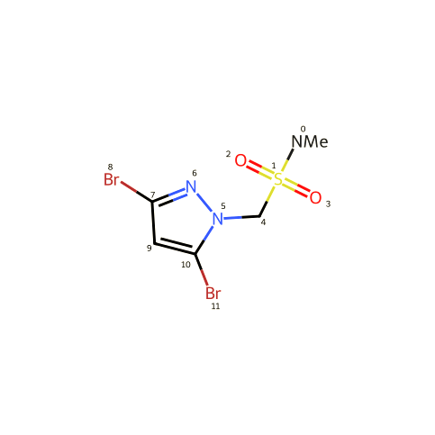 CNS(=O)(=O)Cn1nc(Br)cc1Br